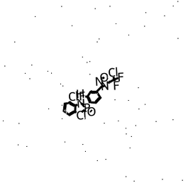 CP(=O)(Nc1c(Cl)cccc1Cl)c1ccc(-c2noc(C(F)(F)Cl)n2)cc1F